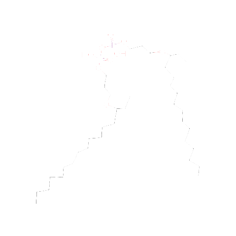 CCCCCCCCCCCCCC(CC)OCCCOP(=O)(O)OP(=O)(O)OCCCOC(CC)CCCCCCCCCCCCC